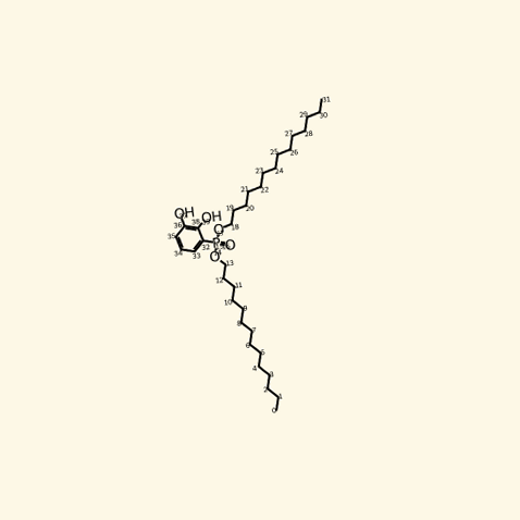 CCCCCCCCCCCCCCOP(=O)(OCCCCCCCCCCCCCC)c1cccc(O)c1O